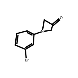 O=C1CN(c2cccc(Br)c2)C1